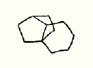 C1CCC23CCC(CC2)C3C1